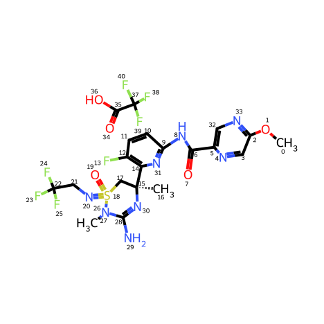 COc1cnc(C(=O)Nc2ccc(F)c([C@]3(C)CS(=O)(=NCC(F)(F)F)N(C)C(N)=N3)n2)cn1.O=C(O)C(F)(F)F